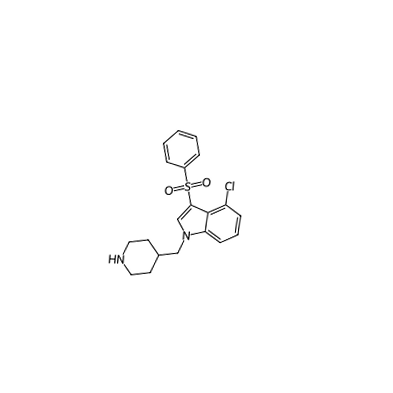 O=S(=O)(c1ccccc1)c1cn(CC2CCNCC2)c2cccc(Cl)c12